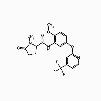 COc1ccc(Oc2cc(C(F)(F)F)ccn2)cc1NC(=O)C1CCC(=O)N1C